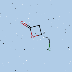 O=C1C[C@H](CCl)O1